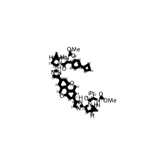 COC(=O)N[C@H](C(=O)N1[C@@H]2C[C@@H]2C[C@H]1c1ncc(-c2cc3c4c(c2)OCc2cc(-c5cnc([C@@H]6C[C@H]7C[C@H]7N6C(=O)[C@H](NC(=O)OC)c6ccc(C7CCC7)cc6)[nH]5)cc(c2-4)OC3)[nH]1)C(C)C